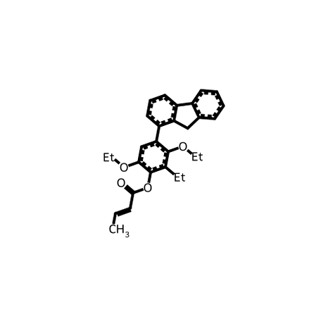 CC=CC(=O)Oc1c(OCC)cc(-c2cccc3c2Cc2ccccc2-3)c(OCC)c1CC